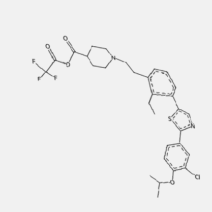 CCc1c(CCN2CCC(C(=O)OC(=O)C(F)(F)F)CC2)cccc1-c1cnc(-c2ccc(OC(C)C)c(Cl)c2)s1